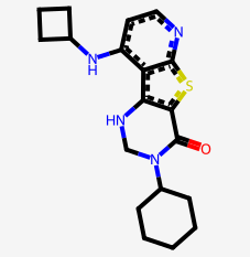 O=C1c2sc3nccc(NC4CCC4)c3c2NCN1C1CCCCC1